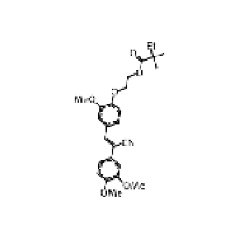 CCC(C)(C)C(=O)OCCOc1ccc(/C=C(\C#N)c2ccc(OC)c(OC)c2)cc1OC